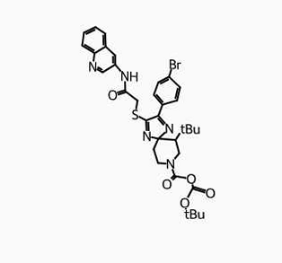 CC(C)(C)OC(=O)OC(=O)N1CCC2(N=C(SCC(=O)Nc3cnc4ccccc4c3)C(c3ccc(Br)cc3)=N2)C(C(C)(C)C)C1